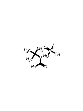 CC(C)(C)O[C](=O)[Na].O=P(O)(O)F